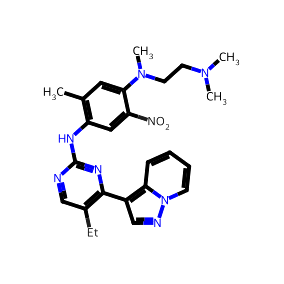 CCc1cnc(Nc2cc([N+](=O)[O-])c(N(C)CCN(C)C)cc2C)nc1-c1cnn2ccccc12